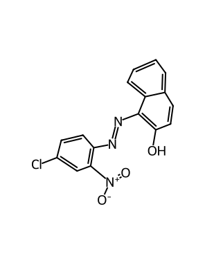 O=[N+]([O-])c1cc(Cl)ccc1N=Nc1c(O)ccc2ccccc12